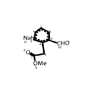 COC(=O)Cc1ccccc1C=O.[NaH]